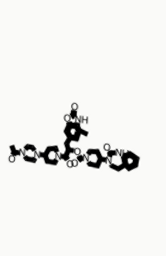 CC(=O)N1CCN(C2CCN(C(=O)C(Cc3cc(C)c4[nH]c(=O)oc4c3)OC(=O)N3CCC(N4CCc5ccccc5NC4=O)CC3)CC2)CC1